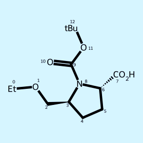 CCOC[C@@H]1CC[C@@H](C(=O)O)N1C(=O)OC(C)(C)C